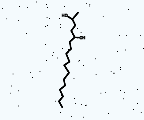 CCCCCCCCCCCCC(O)CCC(C)O